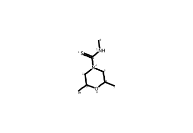 CNC(=S)N1CC(C)OC(C)C1